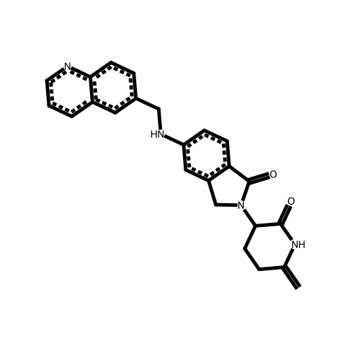 C=C1CCC(N2Cc3cc(NCc4ccc5ncccc5c4)ccc3C2=O)C(=O)N1